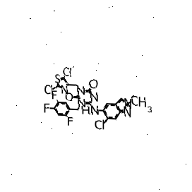 Cn1cc2cc(Nc3nc(=O)n(Cc4nc(Cl)sc4Cl)c(=O)n3Cc3cc(F)c(F)cc3F)c(Cl)cc2n1